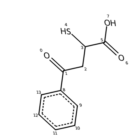 O=C(CC(S)C(=O)O)c1ccccc1